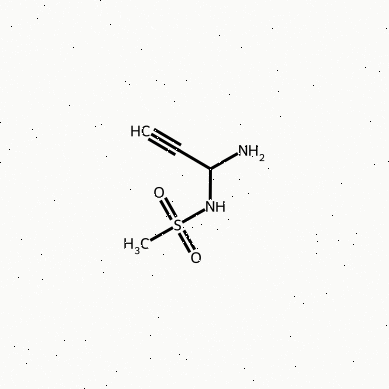 C#CC(N)NS(C)(=O)=O